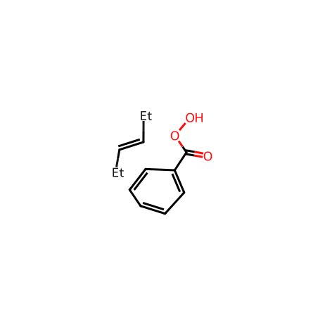 CCC=CCC.O=C(OO)c1ccccc1